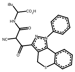 CCC(C)C(NC(=O)C(C#N)C(=O)c1nn(-c2ccccc2)c2c1CSc1ccccc1-2)C(=O)O